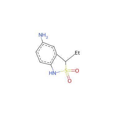 CCC1c2cc(N)ccc2NS1(=O)=O